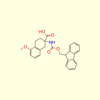 COc1cccc2c1CCC(NC(=O)OCC1c3ccccc3-c3ccccc31)(C(=O)O)C2